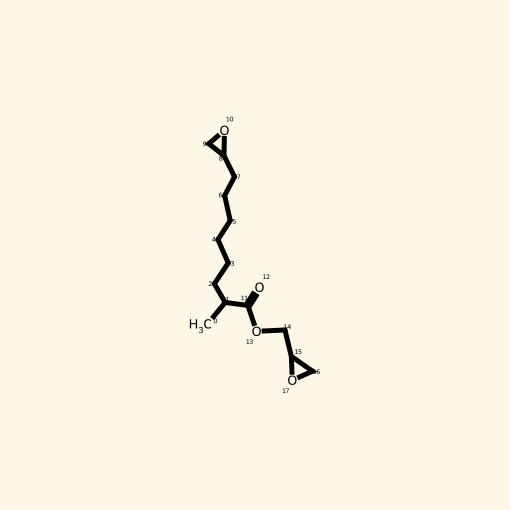 CC(CCCCCCC1CO1)C(=O)OCC1CO1